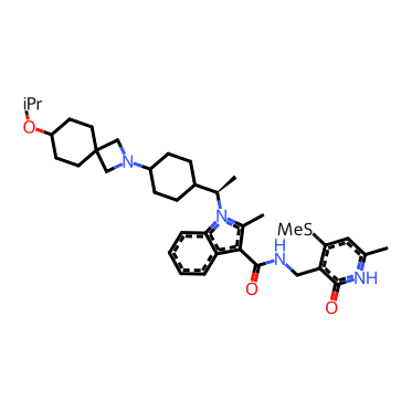 CSc1cc(C)[nH]c(=O)c1CNC(=O)c1c(C)n([C@H](C)C2CCC(N3CC4(CCC(OC(C)C)CC4)C3)CC2)c2ccccc12